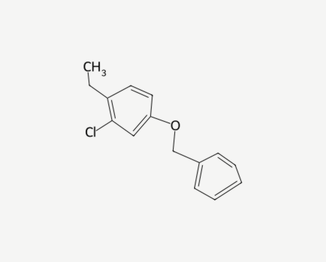 CCc1ccc(OCc2ccccc2)cc1Cl